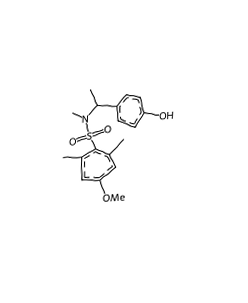 COc1cc(C)c(S(=O)(=O)N(C)C(C)c2ccc(O)cc2)c(C)c1